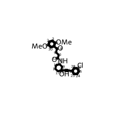 COc1ccc(OC)c(C(=O)CCC(=O)NC2CCCC(O)(C#Cc3cccc(Cl)c3)C2)c1